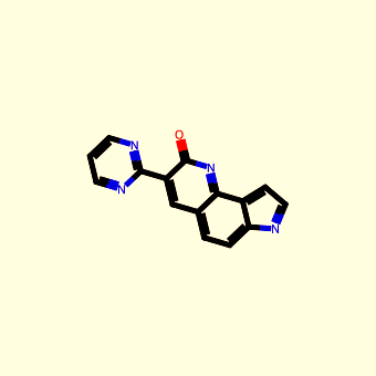 O=C1N=c2c(ccc3c2=CC=N3)C=C1c1ncccn1